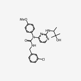 COc1ccc(N(C(=O)NCc2cccc(Cl)c2)c2ccnc(NC(C)C(C)(C)O)n2)cc1